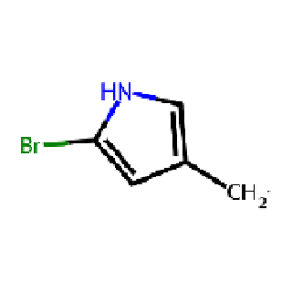 [CH2]c1c[nH]c(Br)c1